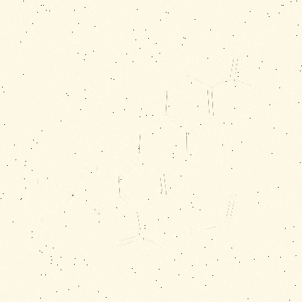 CC(C)(C)Nc1cc(Oc2c(Cl)cc([N+](=O)[O-])cc2Cl)ccc1[N+](=O)[O-].O=[PH](O)O